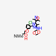 CNCC(O)COc1ccc(Cl)c(-c2nc(NC3COCCO3)c(C)c(-c3c(C)noc3C)n2)c1